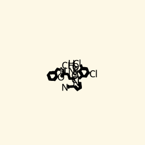 CN(Cc1ccccc1)C(=O)C(CCn1cccc1C#N)NS(=O)(=O)c1c(Cl)cc(Cl)cc1Cl